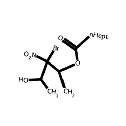 CCCCCCCC(=O)OC(C)C(Br)(C(C)O)[N+](=O)[O-]